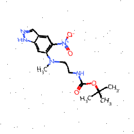 CN(CCNC(=O)OC(C)(C)C)c1cc2[nH]ncc2cc1[N+](=O)[O-]